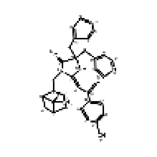 CC1(C)C2CCC(CN3C(=O)C(Cc4ccncc4)(Cc4ccncc4)NC3=CC(=O)c3ccc(C#N)cc3)C1C2